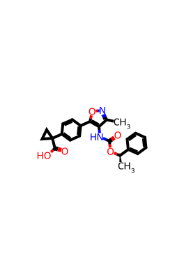 Cc1noc(-c2ccc(C3(C(=O)O)CC3)cc2)c1NC(=O)O[C@H](C)c1ccccc1